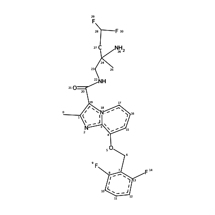 Cc1nc2c(OCc3c(F)cccc3F)cccn2c1C(=O)NCC(C)(N)CC(F)F